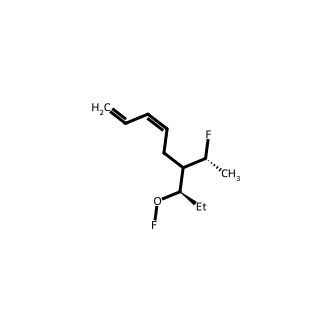 C=C/C=C\CC([C@@H](C)F)[C@@H](CC)OF